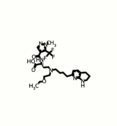 CCOCCN(CCCCc1ccc2c(n1)NCCC2)CC[C@H](NC(=O)c1cnn(C)c1C(F)(F)F)C(=O)O